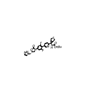 CC(C)(C)OC(=O)NC1(c2ccc(-c3c(F)cc(N4C[C@H](Cn5ccnn5)OC4=O)cc3F)cn2)C2CSCC21